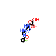 O=C(c1ccccc1F)N1CCC(Nc2ncnc3c2ncn3[C@@H]2O[C@H](CO)C[C@H]2O)C1